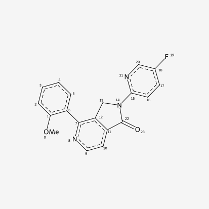 COc1ccccc1-c1nccc2c1CN(c1ccc(F)cn1)C2=O